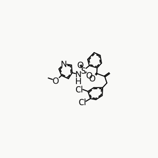 C=C(Cc1ccc(Cl)c(Cl)c1)C(=O)c1ccccc1S(=O)(=O)Nc1cncc(OC)c1